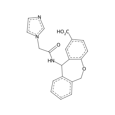 O=C(Cn1ccnc1)NC1c2ccccc2COc2ccc(C(=O)O)cc21